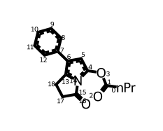 CCCC(=O)Oc1cc(-c2ccccc2)c2n1C(=O)CC2